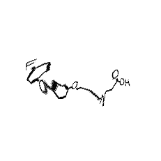 CN(CCCOc1ccc(Oc2ccc(F)cc2)cc1)CCC(=O)O